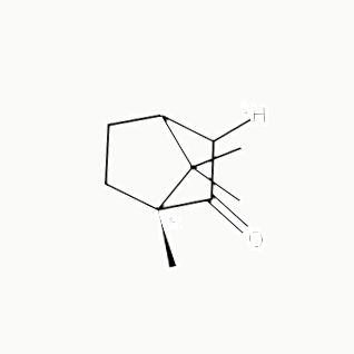 [2H]C1C(=O)[C@]2(C)CCC1C2(C)C